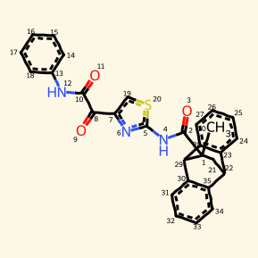 CC1(C(=O)Nc2nc(C(=O)C(=O)Nc3ccccc3)cs2)CC2c3ccccc3C1c1ccccc12